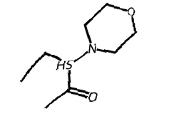 CC[SH](C(C)=O)N1CCOCC1